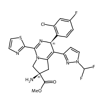 COC(=O)[C@@]1(N)CC2=C(c3ccn(C(F)F)n3)[C@H](c3ccc(F)cc3Cl)N=C(c3nccs3)N2C1